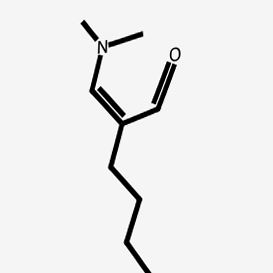 CCCCC(C=O)=CN(C)C